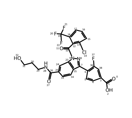 O=C(O)c1ccc(-c2nn(C(=O)c3c(Cl)cccc3C(F)(F)F)c3cc(C(=O)NCCCO)ccc23)c(F)c1